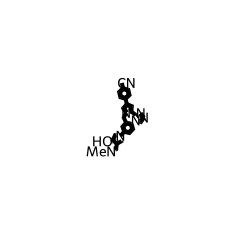 CNCC1CN(c2ccc3c(c2)Cn2cc(-c4ccc(C#N)cc4)cc2-c2nncn2-3)C[C@@H]1O